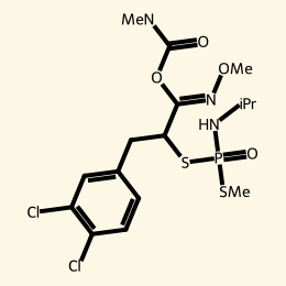 CNC(=O)OC(=NOC)C(Cc1ccc(Cl)c(Cl)c1)SP(=O)(NC(C)C)SC